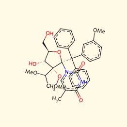 COO[C@]1(C(C)OC)[C@H](O)[C@@H](CO)O[C@]1(n1cc(C)c(=O)[nH]c1=O)C(c1ccccc1)(c1ccccc1)c1cccc(OC)c1